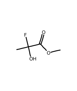 COC(=O)C(C)(O)F